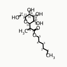 CCCCCCOC(=O)C(C)C1O[C@H](CO)[C@@H](O)[C@H](O)[C@@H]1O